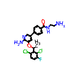 CC(Oc1cc(-c2ccc(C(=O)NCCN)cc2)cnc1N)c1c(Cl)ccc(F)c1Cl